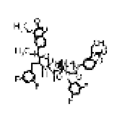 CCN(C(=O)C(Cc1cc(F)cc(F)c1)NC(=O)NS(=O)(=O)N[C@@H](Cc1cc(F)cc(F)c1)C(=O)N(CC)c1ccc2oc(=O)n(CC)c2c1)c1ccc2oc(=O)n(CC)c2c1